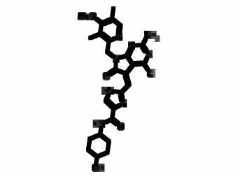 COc1c(C)cnc(CN2C(=O)C(=Cc3nc(C(=O)NC4CCC(O)CC4)c[nH]3)c3c(Cl)nc(N)nc32)c1C